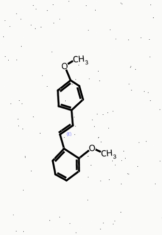 COc1ccc(/C=C/c2ccccc2OC)cc1